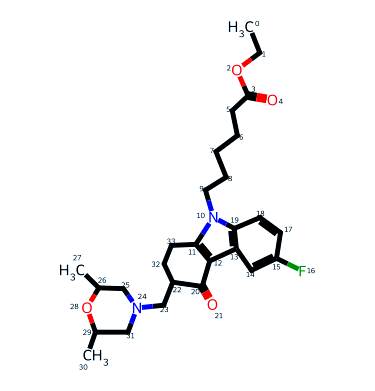 CCOC(=O)CCCCCn1c2c(c3cc(F)ccc31)C(=O)C(CN1CC(C)OC(C)C1)CC2